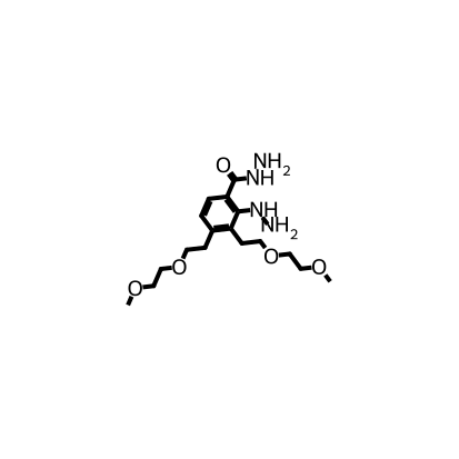 COCCOCCc1ccc(C(=O)NN)c(NN)c1CCOCCOC